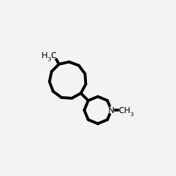 CC1CCCCCC(C2CCCCN(C)CC2)CCCC1